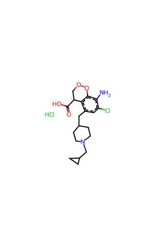 Cl.Nc1c(Cl)cc(CC2CCN(CC3CC3)CC2)c2c1OOCC2C(=O)O